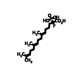 CC(C)=CCC/C(C)=C/CC/C(C)=C/CCCC(F)(C(=O)O)P(=O)(O)O